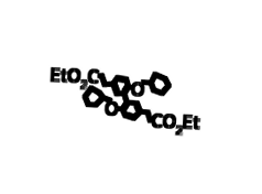 CCOC(=O)CCc1ccc(OCC2CCCCC2)c(-c2cc(CCC(=O)OCC)ccc2OCC2CCCCC2)c1